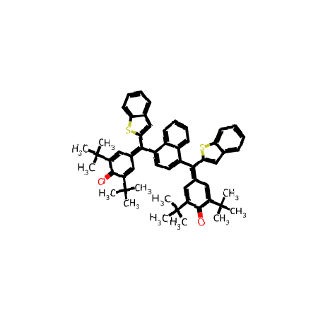 CC(C)(C)C1=CC(=C(c2cc3ccccc3s2)c2ccc(C(=C3C=C(C(C)(C)C)C(=O)C(C(C)(C)C)=C3)c3cc4ccccc4s3)c3ccccc23)C=C(C(C)(C)C)C1=O